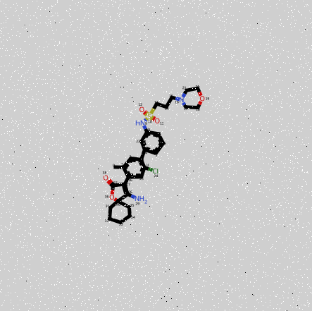 Cc1cc(-c2cccc(NS(=O)(=O)CCCN3CCOCC3)c2)c(Cl)cc1C1=C(N)C2(CCCCC2)OC1=O